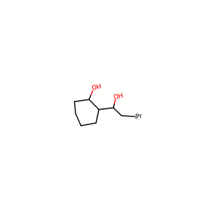 CC(C)CC(O)C1CCCCC1O